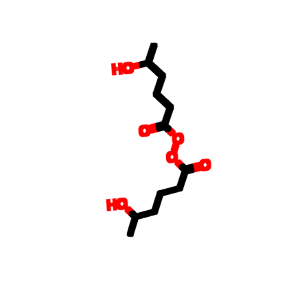 CC(O)CCCC(=O)OOC(=O)CCCC(C)O